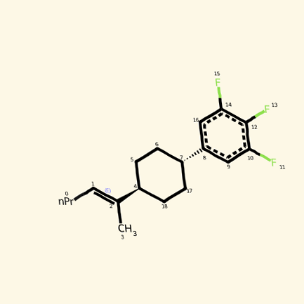 CCC/C=C(\C)[C@H]1CC[C@H](c2cc(F)c(F)c(F)c2)CC1